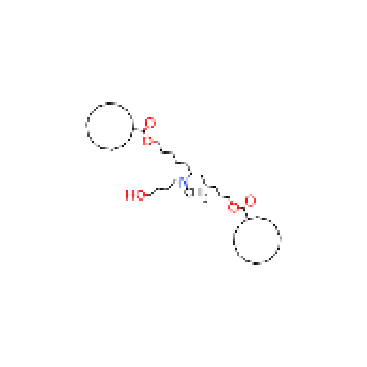 CN(CCCCO)C(CCCCCOC(=O)C1CCCCCCCCCCCCC1)CCCCCOC(=O)C1CCCCCCCCCCCCC1